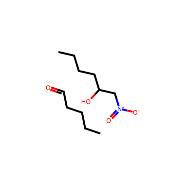 CCCCC(O)C[N+](=O)[O-].CCCCC=O